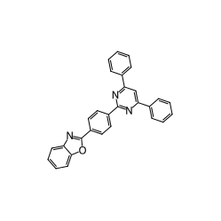 c1ccc(-c2cc(-c3ccccc3)nc(-c3ccc(-c4nc5ccccc5o4)cc3)n2)cc1